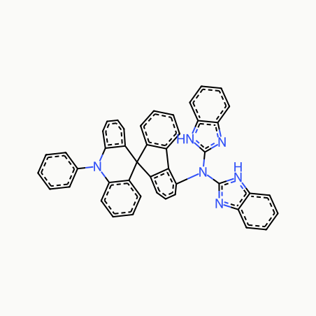 c1ccc(N2c3ccccc3C3(c4ccccc4-c4c(N(c5nc6ccccc6[nH]5)c5nc6ccccc6[nH]5)cccc43)c3ccccc32)cc1